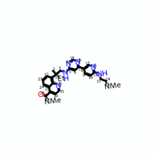 CC[C@](C)(CNc1cc(-c2ccc(NCCNC)nc2)ncn1)c1cccc2c(C(=O)NC)ccnc12